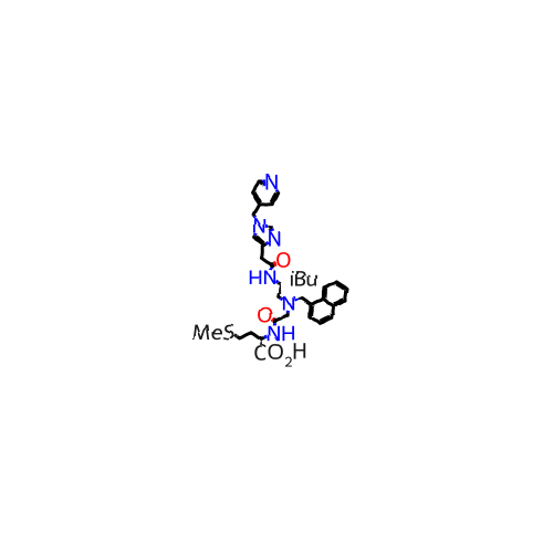 CC[C@H](C)[C@@H](CN(CC(=O)N[C@@H](CCSC)C(=O)O)Cc1cccc2ccccc12)NC(=O)Cc1cn(Cc2ccncc2)cn1